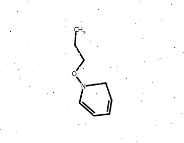 CCCON1[CH]C=CC=C1